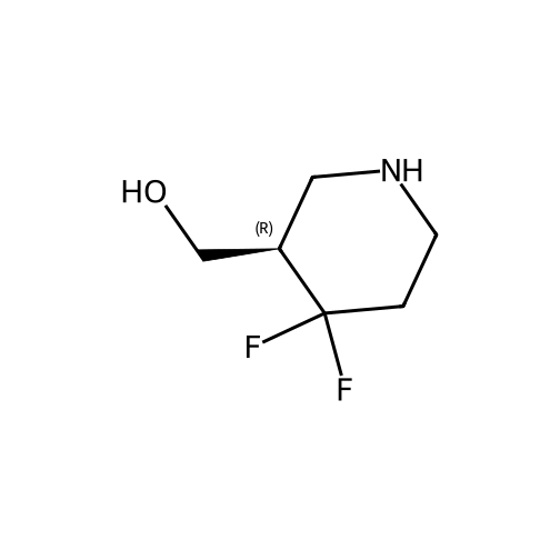 OC[C@H]1CNCCC1(F)F